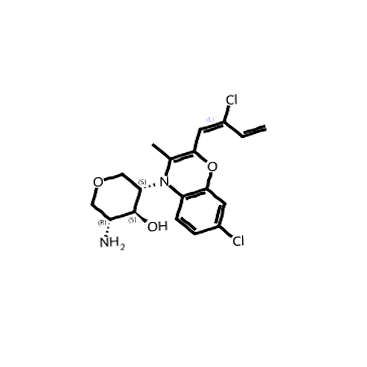 C=C/C(Cl)=C\C1=C(C)N([C@H]2COC[C@@H](N)[C@@H]2O)c2ccc(Cl)cc2O1